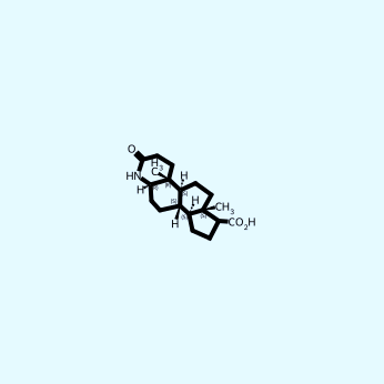 C[C@]12CCC(=O)N[C@@H]1CC[C@@H]1[C@@H]2CC[C@]2(C)C(C(=O)O)CC[C@@H]12